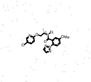 CCN(C(=O)c1cc(OC)ccc1-n1nccn1)[C@@H](C)COc1ccc(Cl)cn1